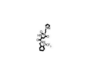 O=C(NCc1ccccc1OC(F)(F)F)c1cc(=O)n(CCn2cccn2)c(=O)[nH]1